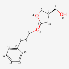 OC[C@@H]1CO[C@H](OCCCc2ccccc2)C1